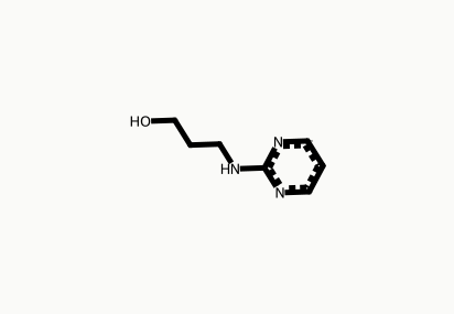 OCCCNc1n[c]ccn1